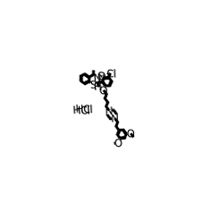 COc1cc(CCN2CCN(CCCCOc3ccc(Cl)cc3C3(C)Sc4ccccc4C(C)[NH+]3[O-])CC2)cc(OC)c1.Cl.Cl